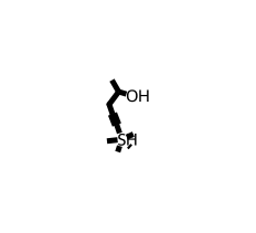 CC(O)CC#C[SH](C)(C)(C)C